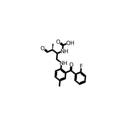 Cc1ccc(NCC(NC(=O)O)[C@H](C)C=O)c(C(=O)c2ccccc2F)c1